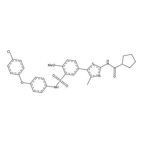 COc1ccc(-c2sc(NC(=O)C3CCCC3)nc2C)cc1S(=O)(=O)Nc1ccc(Oc2ccc(Cl)cc2)cc1